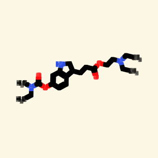 CCN(CC)CCOC(=O)CCC1CNc2cc(OC(=O)N(C)CC)ccc21